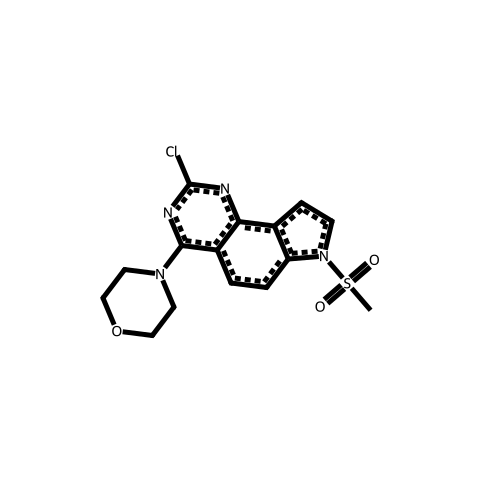 CS(=O)(=O)n1ccc2c3nc(Cl)nc(N4CCOCC4)c3ccc21